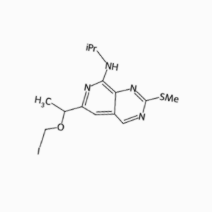 CSc1ncc2cc(C(C)OCI)nc(NC(C)C)c2n1